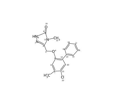 Cc1cc(OCc2n[nH]c(=O)n2C)c(-c2ccccc2)cc1Cl